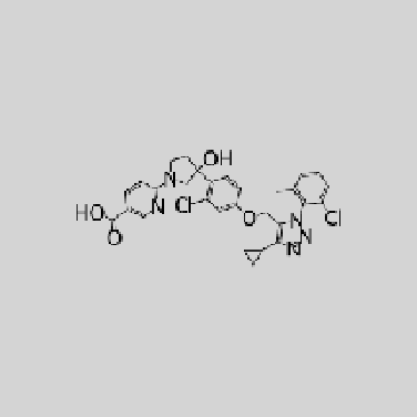 Cc1cccc(Cl)c1-n1nnc(C2CC2)c1COc1ccc(C2(O)CCN(c3ccc(C(=O)O)cn3)C2)c(Cl)c1